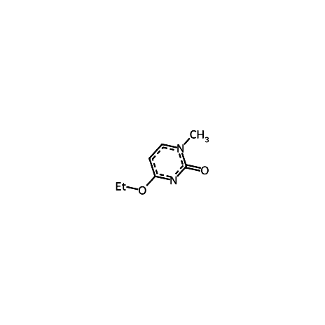 CCOc1ccn(C)c(=O)n1